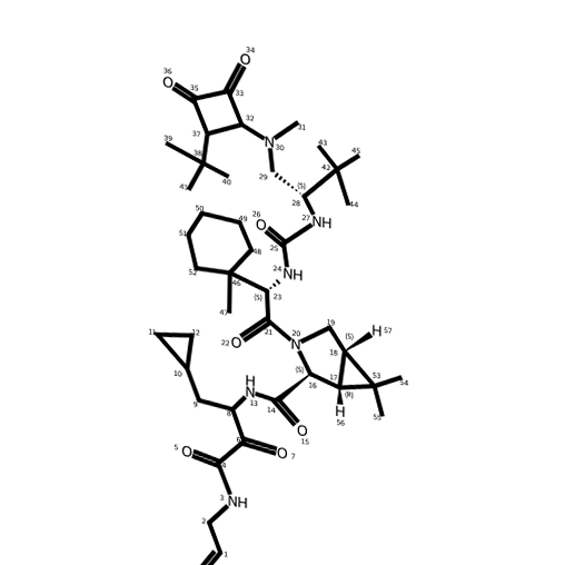 C=CCNC(=O)C(=O)C(CC1CC1)NC(=O)[C@@H]1[C@@H]2[C@H](CN1C(=O)[C@@H](NC(=O)N[C@H](CN(C)C1C(=O)C(=O)C1C(C)(C)C)C(C)(C)C)C1(C)CCCCC1)C2(C)C